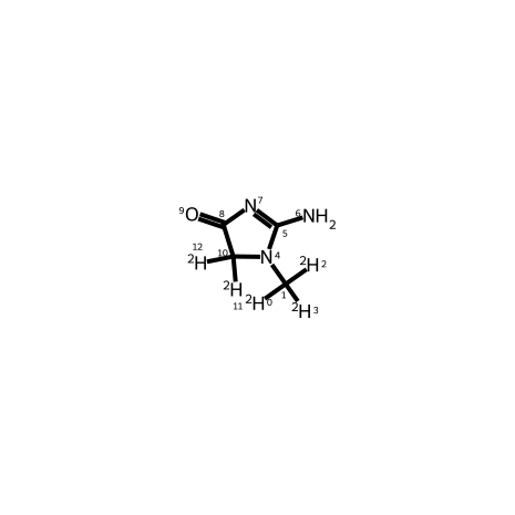 [2H]C([2H])([2H])N1C(N)=NC(=O)C1([2H])[2H]